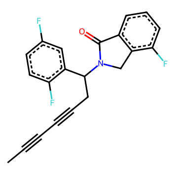 CC#CC#CCC(c1cc(F)ccc1F)N1Cc2c(F)cccc2C1=O